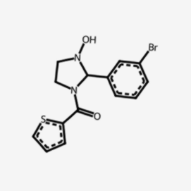 O=C(c1cccs1)N1CCN(O)C1c1cccc(Br)c1